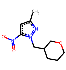 Cc1cc([N+](=O)[O-])n(CC2CCCOC2)n1